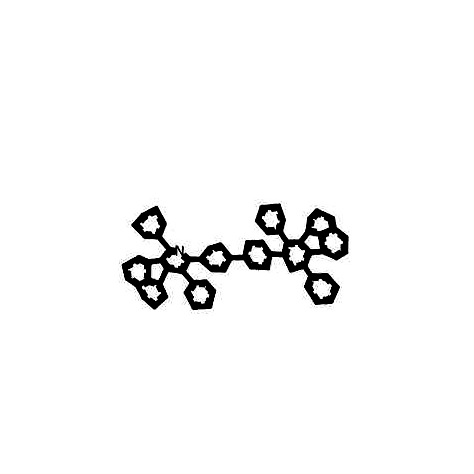 c1ccc(-c2cc(-c3ccc(-c4ccc(-c5nc(-c6ccccc6)c6c(c5-c5ccccc5)-c5cccc7cccc-6c57)cc4)cc3)c(-c3ccccc3)c3c2-c2cccc4cccc-3c24)cc1